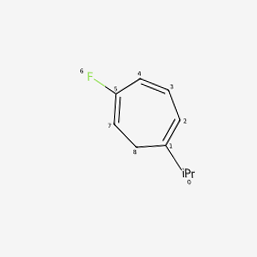 CC(C)C1=CC=CC(F)=CC1